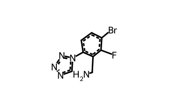 NCc1c(-n2cnnn2)ccc(Br)c1F